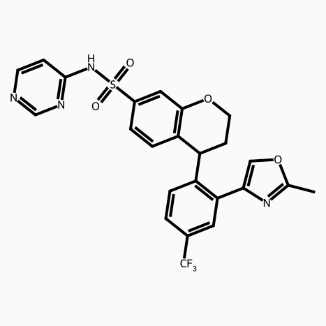 Cc1nc(-c2cc(C(F)(F)F)ccc2C2CCOc3cc(S(=O)(=O)Nc4ccncn4)ccc32)co1